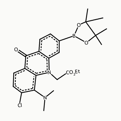 CCOC(=O)Cn1c2cc(B3OC(C)(C)C(C)(C)O3)ccc2c(=O)c2ccc(Cl)c(N(C)C)c21